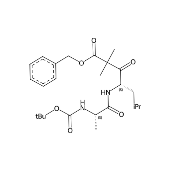 CC(C)C[C@H](NC(=O)[C@H](C)NC(=O)OC(C)(C)C)C(=O)C(C)(C)C(=O)OCc1ccccc1